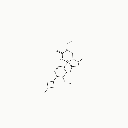 CCCN1C=C(C(C)C)[C@@](c2ccc(C3CC(C)C3)c(CC)c2)(C(C)C)NC1=O